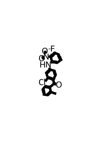 Cc1ccccc1C(=O)c1ccc(Nc2cccc(F)c2[N+](=O)[O-])cc1Cl